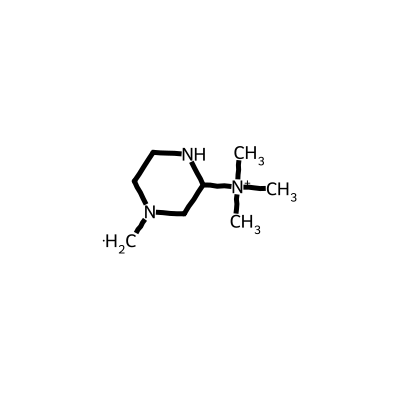 [CH2]N1CCNC([N+](C)(C)C)C1